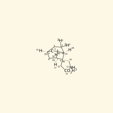 [2H]C1([2H])C[C@H]2C[C@@H]3[C@H](C2)[C@](CN)(CC(=O)O)[C@@H]31